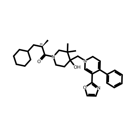 C[C@H](CC1CCCCC1)C(=O)N1CCC(O)(CN2C=C(c3ncco3)C(c3ccccc3)=CC2)C(C)(C)C1